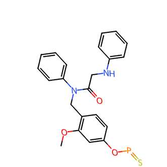 COc1cc(OP=S)ccc1CN(C(=O)CNc1ccccc1)c1ccccc1